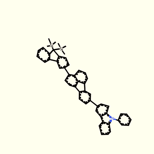 C[Si](C)(C)C1([Si](C)(C)C)c2ccccc2-c2cc(-c3ccc4c5c(cccc35)-c3cc(-c5ccc6c(c5)c5ccccc5n6-c5ccccc5)ccc3-4)ccc21